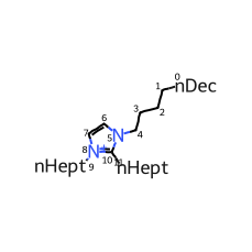 CCCCCCCCCCCCCCn1cc[n+](CCCCCCC)c1CCCCCCC